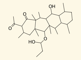 CCC(O)OC1C2(C)C(C)C3C(C)CCC(C)C3C(O)C2C(C)C2(C)C(=O)C(C(C)=O)C(C)CC12C